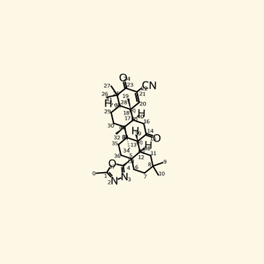 Cc1nnc([C@]23CCC(C)(C)C[C@H]2[C@H]2C(=O)C[C@@H]4[C@@]5(C)C=C(C#N)C(=O)C(C)(C)[C@@H]5CC[C@@]4(C)[C@]2(C)CC3)o1